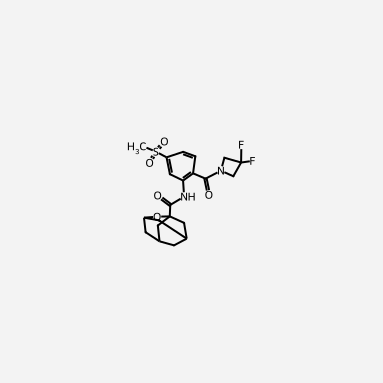 CS(=O)(=O)c1ccc(C(=O)N2CC(F)(F)C2)c(NC(=O)C23CC4CC(CC(C4)O2)C3)c1